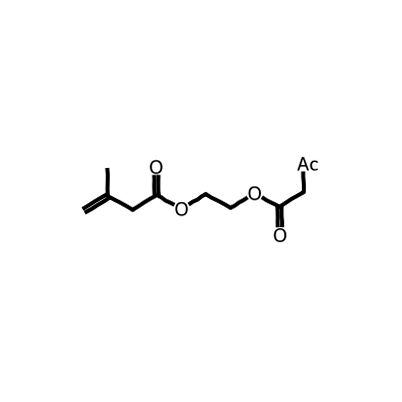 C=C(C)CC(=O)OCCOC(=O)CC(C)=O